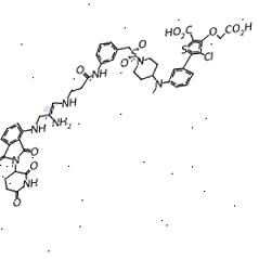 CN(c1cccc(-c2sc(C(=O)O)c(OCC(=O)O)c2Cl)c1)C1CCN(S(=O)(=O)Cc2cccc(NC(=O)CCN/C=C(\N)CNc3cccc4c3C(=O)N(C3CCC(=O)NC3=O)C4=O)c2)CC1